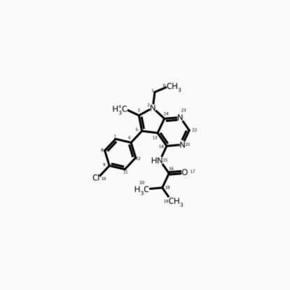 CCn1c(C)c(-c2ccc(Cl)cc2)c2c(NC(=O)C(C)C)ncnc21